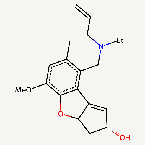 C=CCN(CC)Cc1c(C)cc(OC)c2c1C1=C[C@H](O)CC1O2